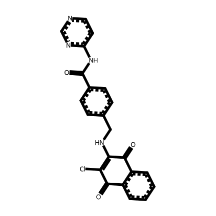 O=C(Nc1ccncn1)c1ccc(CNC2=C(Cl)C(=O)c3ccccc3C2=O)cc1